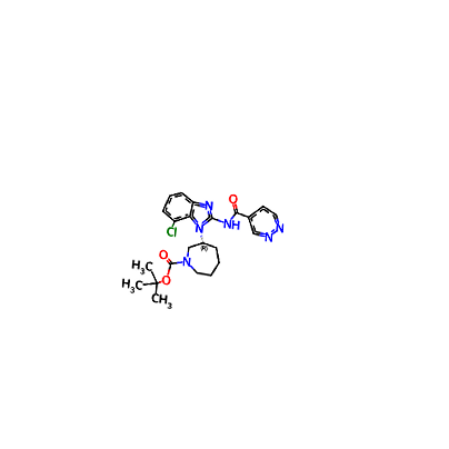 CC(C)(C)OC(=O)N1CCCC[C@@H](n2c(NC(=O)c3ccnnc3)nc3cccc(Cl)c32)C1